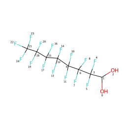 OC(O)C(F)(F)C(F)(F)C(F)(F)C(F)(F)C(F)(F)C(F)(F)C(F)(F)F